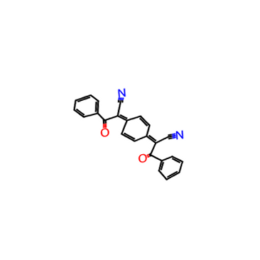 N#CC(C(=O)c1ccccc1)=c1ccc(=C(C#N)C(=O)c2ccccc2)cc1